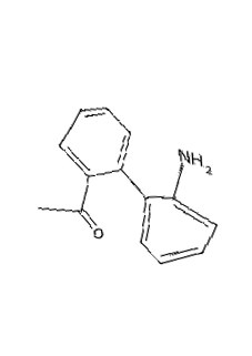 CC(=O)c1ccccc1-c1ccccc1N